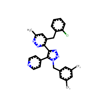 Cc1cc(Cc2ccccc2Cl)c(-c2nnn(Cc3cc(C(F)(F)F)cc(C(F)(F)F)c3)c2-c2ccncc2)nn1